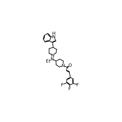 CCN(C1CCN(C(=O)/C=C/c2cc(F)c(F)c(F)c2)CC1)N1CCC(c2c[nH]c3ccccc23)CC1